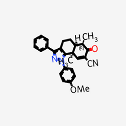 COc1ccc(-n2nc(-c3ccccc3)c3c2[C@]2(C)C=C(C#N)C(=O)[C@H](C)[C@H]2CC3)cc1